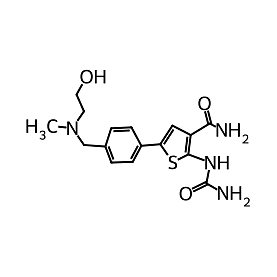 CN(CCO)Cc1ccc(-c2cc(C(N)=O)c(NC(N)=O)s2)cc1